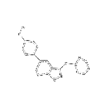 CC(C)Oc1ccc(-c2ccc3onc(Oc4ccccn4)c3c2)cc1